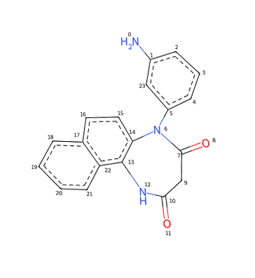 Nc1cccc(N2C(=O)CC(=O)Nc3c2ccc2ccccc32)c1